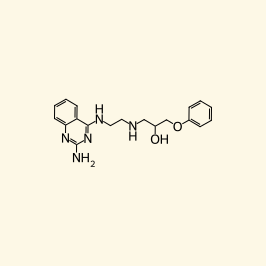 Nc1nc(NCCNCC(O)COc2ccccc2)c2ccccc2n1